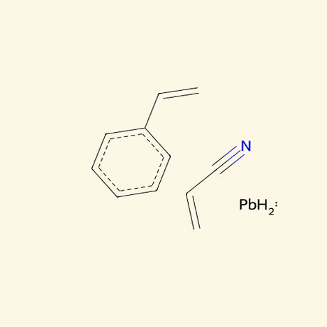 C=CC#N.C=Cc1ccccc1.[PbH2]